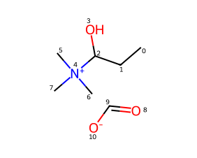 CCC(O)[N+](C)(C)C.O=C[O-]